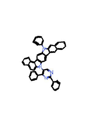 c1ccc(-c2ncc(-n3c4cc5c6cc7ccccc7cc6n(-c6ccccc6)c5cc4c4c5ccccc5ccc43)c(-c3ccccc3)n2)cc1